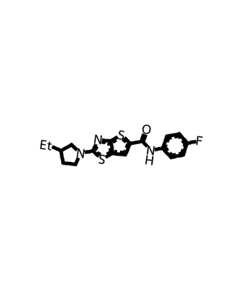 CCC1CCN(c2nc3sc(C(=O)Nc4ccc(F)cc4)cc3s2)C1